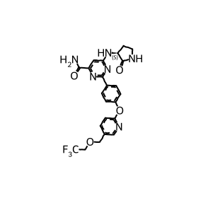 NC(=O)c1cc(N[C@H]2CCNC2=O)nc(-c2ccc(Oc3ccc(COCC(F)(F)F)cn3)cc2)n1